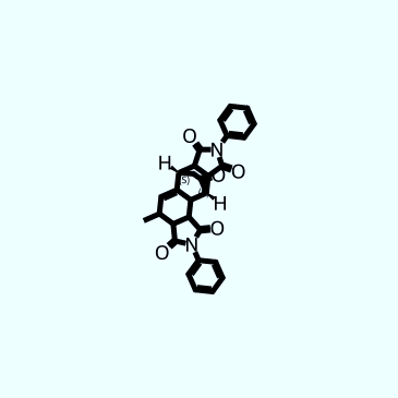 CC1C=C2C(C3C(=O)N(c4ccccc4)C(=O)C13)[C@@H]1C(=O)C[C@H]2C2C(=O)N(c3ccccc3)C(=O)C21